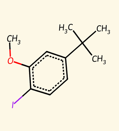 COc1cc(C(C)(C)C)ccc1I